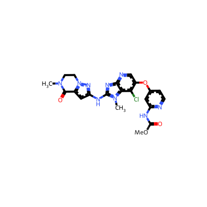 COC(=O)Nc1cc(Oc2cnc3nc(Nc4cc5n(n4)CCN(C)C5=O)n(C)c3c2Cl)ccn1